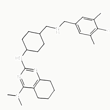 Cc1cc(CNCC2CCC(Nc3nc4c(c(N(C)C)n3)CCCC4)CC2)cc(C)c1O